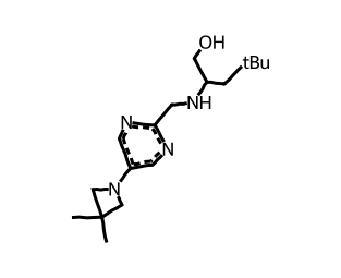 CC(C)(C)CC(CO)NCc1ncc(N2CC(C)(C)C2)cn1